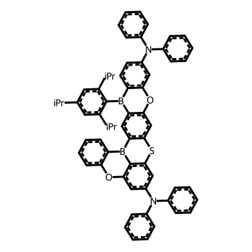 CC(C)c1cc(C(C)C)c(B2c3ccc(N(c4ccccc4)c4ccccc4)cc3Oc3cc4c(cc32)B2c3ccccc3Oc3cc(N(c5ccccc5)c5ccccc5)cc(c32)S4)c(C(C)C)c1